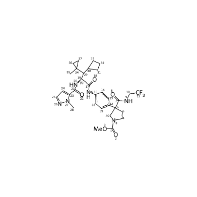 COC(=O)N1CCC(C(=O)NCC(F)(F)F)(c2ccc(NC(=O)[C@@H](NC(=O)c3ccnn3C)C(C3CCC3)C3(C)CC3)cc2)C1